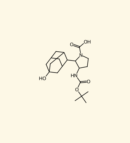 CC(C)(C)OC(=O)NC1CCN(C(=O)O)C1C1C2CC3CC1CC(O)(C3)C2